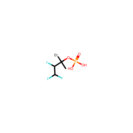 CCC(C)(OP(=O)(O)O)C(F)C(F)F